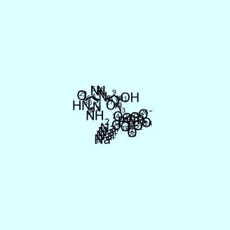 Nc1nc2c(nnn2[C@H]2C[C@H](O)[C@@H](COP(=O)([O-])OP(=O)([O-])OP(=O)([O-])[O-])O2)c(=O)[nH]1.[Na+].[Na+].[Na+].[Na+]